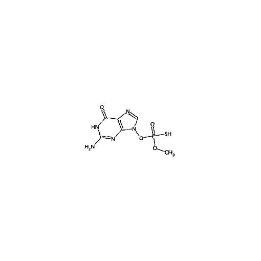 COP(=O)(S)On1cnc2c(=O)[nH]c(N)nc21